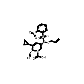 C=CCON([C@@H]1C=C(C2CC2)[C@@H](CO)N(C(=O)O)C1)S(=O)(=O)c1ccccc1[N+](=O)[O-]